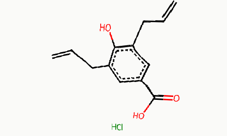 C=CCc1cc(C(=O)O)cc(CC=C)c1O.Cl